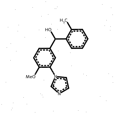 COc1ccc(C(O)c2ccccc2C)cc1-n1ccnc1